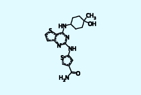 CC1(O)CCC(Nc2nc(Nc3cc(C(N)=O)cs3)nc3ccsc23)CC1